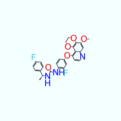 COc1cc2nccc(Oc3ccc(NC(=O)N[C@@H](C)c4ccc(F)cc4)c(F)c3)c2c2c1OCCO2